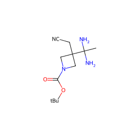 CC(C)(C)OC(=O)N1CC(CC#N)(C(C)(N)N)C1